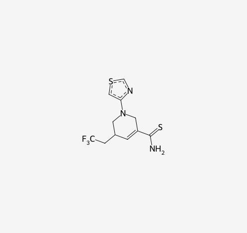 NC(=S)C1=CC(CC(F)(F)F)CN(c2cscn2)C1